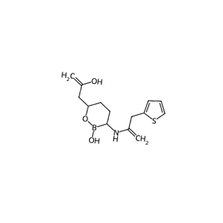 C=C(O)CC1CCC(NC(=C)Cc2cccs2)B(O)O1